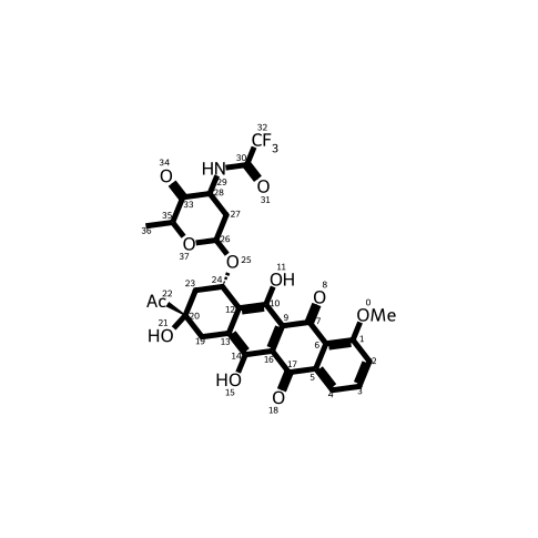 COc1cccc2c1C(=O)c1c(O)c3c(c(O)c1C2=O)C[C@@](O)(C(C)=O)C[C@@H]3OC1CC(NC(=O)C(F)(F)F)C(=O)C(C)O1